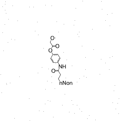 CCCCCCCCCCCC(=O)Nc1ccc(OC(=O)C[O])cc1